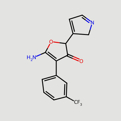 NC1=C(c2cccc(C(F)(F)F)c2)C(=O)C(C2=CC=NC2)O1